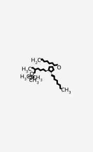 C=CCCCCCC=O.CCCCCCC=C[C@H]1CCC[C@@H]1CCCCC(CC)CO[Si](C)(C)C